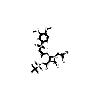 COc1ccc(S(=O)(=O)/C=C(/I)C[C@@H]2[C@H]([C@@H](C)O[Si](C)(C)C(C)(C)C)C(=O)N2CC(=O)O)cc1OC